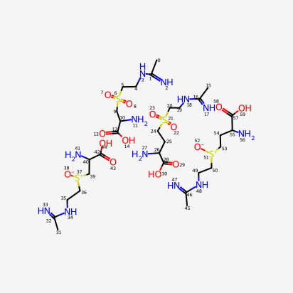 CC(=N)NCCS(=O)(=O)CC(N)C(=O)O.CC(=N)NCCS(=O)(=O)CCC(N)C(=O)O.CC(=N)NCC[S+]([O-])CC(N)C(=O)O.CC(=N)NCC[S+]([O-])CCC(N)C(=O)O